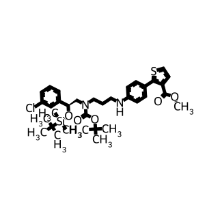 COC(=O)c1ccsc1-c1ccc(NCCCN(C[C@@H](O[Si](C)(C)C(C)(C)C)c2cccc(Cl)c2)C(=O)OC(C)(C)C)cc1